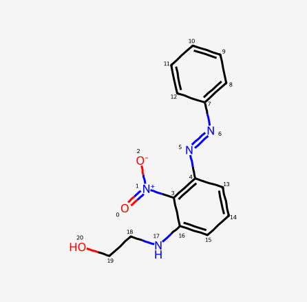 O=[N+]([O-])c1c(N=Nc2ccccc2)cccc1NCCO